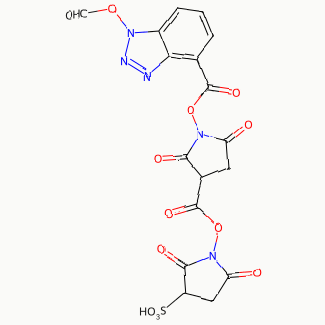 O=COn1nnc2c(C(=O)ON3C(=O)CC(C(=O)ON4C(=O)CC(S(=O)(=O)O)C4=O)C3=O)cccc21